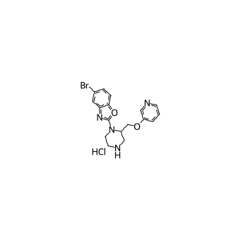 Brc1ccc2oc(N3CCNCC3COc3cccnc3)nc2c1.Cl